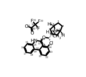 C[N+]1(C)[C@@H]2CC[C@H]1C[C@@H](COC(=O)Nc1ccccc1-c1cccc(Cl)c1F)C2.O=C([O-])C(F)(F)F